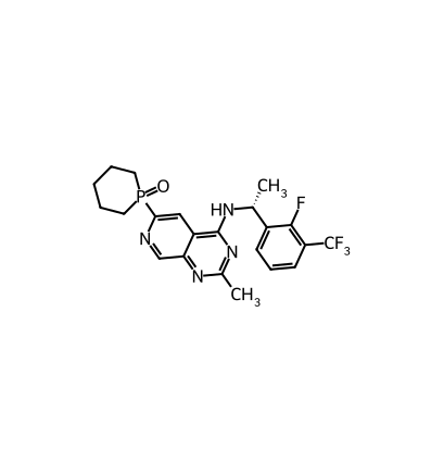 Cc1nc(N[C@H](C)c2cccc(C(F)(F)F)c2F)c2cc(P3(=O)CCCCC3)ncc2n1